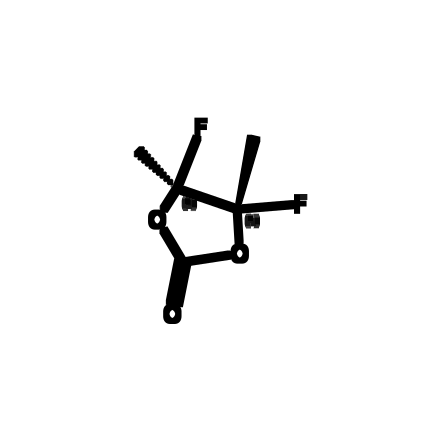 C[C@@]1(F)OC(=O)O[C@@]1(C)F